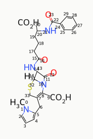 Cn1cccc1CC1=C(C(=O)O)N2C(=O)[C@@H](NC(=O)CCCC(NC(=O)c3ccccc3)C(=O)O)[C@@H]2SC1